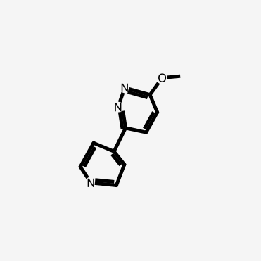 COc1ccc(-c2ccncc2)nn1